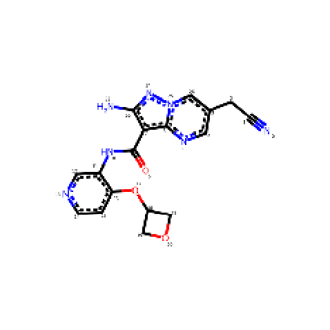 N#CCc1cnc2c(C(=O)Nc3cnccc3OC3COC3)c(N)nn2c1